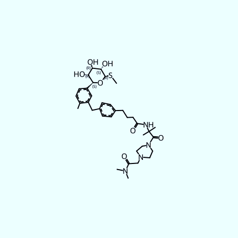 CS[C@H]1O[C@@H](c2ccc(C)c(Cc3ccc(CCCC(=O)NC(C)(C)C(=O)N4CCN(CC(=O)N(C)C)CC4)cc3)c2)[C@H](O)[C@@H](O)[C@@H]1O